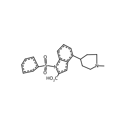 CN1CCC(c2cccc3c2cc(C(=O)O)n3S(=O)(=O)c2ccccc2)CC1